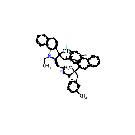 C=C(/C=C/C=C1/N(CC)c2c(ccc3ccccc23)C1(C)Cc1ccc(F)cc1F)C(C)(Cc1cccc(C)c1)c1cc2ccccc2cc1C